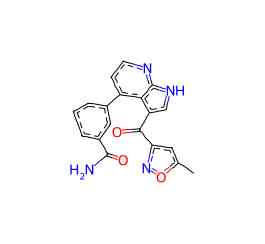 Cc1cc(C(=O)c2c[nH]c3nccc(-c4cccc(C(N)=O)c4)c23)no1